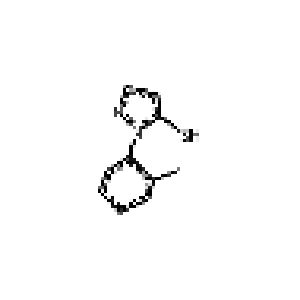 Cc1ccccc1-n1nccc1S